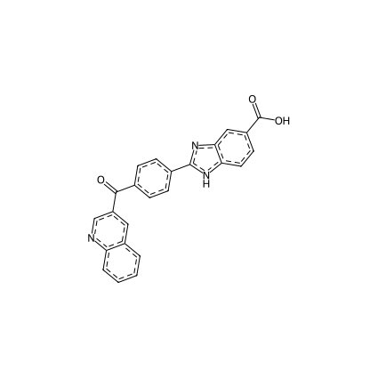 O=C(O)c1ccc2[nH]c(-c3ccc(C(=O)c4cnc5ccccc5c4)cc3)nc2c1